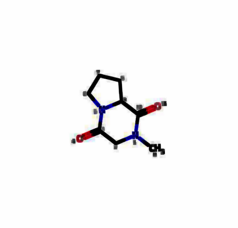 CN1CC(=O)N2CCCC2C1=O